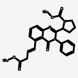 CC(C)(C)OC(=O)CC=Cc1cccc2nc(C3CCCN3C(=O)OC(C)(C)C)n(-c3ccccc3)c(=O)c12